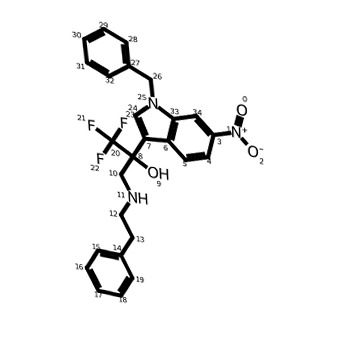 O=[N+]([O-])c1ccc2c(C(O)(CNCCc3ccccc3)C(F)(F)F)cn(Cc3ccccc3)c2c1